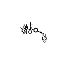 Cc1cc(C)n2ncc(C(=O)Nc3ccc(C#CCN4CCOCC4)cc3)c2n1